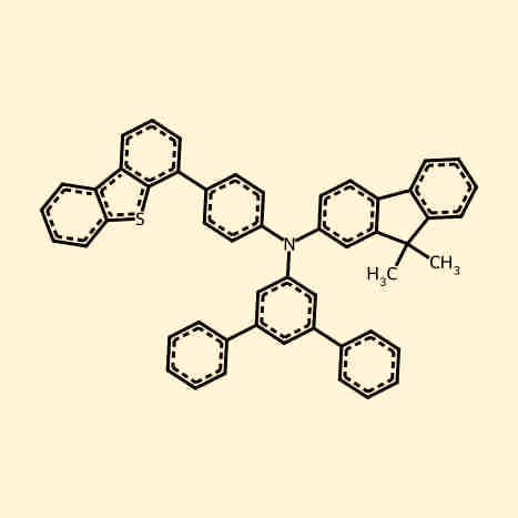 CC1(C)c2ccccc2-c2ccc(N(c3ccc(-c4cccc5c4sc4ccccc45)cc3)c3cc(-c4ccccc4)cc(-c4ccccc4)c3)cc21